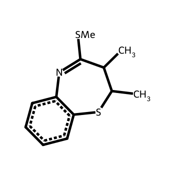 CSC1=Nc2ccccc2SC(C)C1C